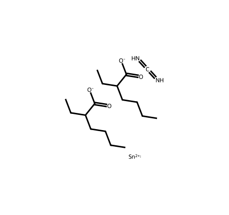 CCCCC(CC)C(=O)[O-].CCCCC(CC)C(=O)[O-].N=C=N.[Sn+2]